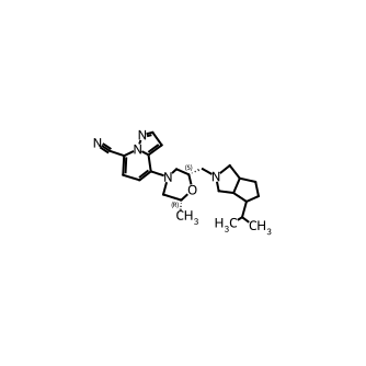 CC(C)C1CCC2CN(C[C@H]3CN(c4ccc(C#N)n5nccc45)C[C@@H](C)O3)CC21